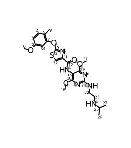 COc1ccc(C)c(Oc2nc(C(=O)Nc3c(OC)nc(NCCNC(C)C)nc3OC)cs2)c1